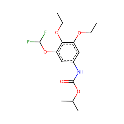 CCOc1cc(NC(=O)OC(C)C)cc(OC(F)F)c1OCC